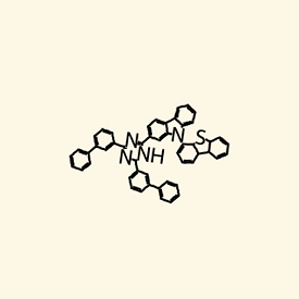 C1=CC2SC3C(n4c5ccccc5c5ccc(C6=NC(c7cccc(-c8ccccc8)c7)=NC(c7cccc(-c8ccccc8)c7)N6)cc54)=CC=CC3C2C=C1